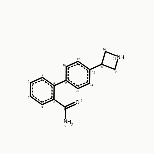 NC(=O)c1ccccc1-c1ccc(C2CNC2)cc1